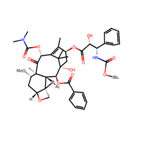 CO[C@H]1C[C@H]2OC[C@]23B(C(C)=O)[C@@]32[C@H](OC(=O)c3ccccc3)[C@]3(O)C[C@H](OC(=O)[C@H](O)[C@@H](NC(=O)OC(C)(C)C)c4ccccc4)C(C)=C([C@@H](OC(=O)N(C)C)C(=O)[C@]12C)C3(C)C